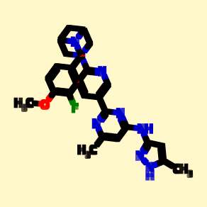 COc1ccc(CN2C3CC2CN(c2ccc(-c4nc(C)cc(Nc5cc(C)[nH]n5)n4)cn2)C3)cc1F